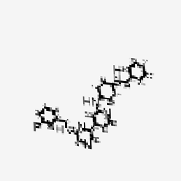 Fc1cccc(CNc2cncc(-c3ccnc(NC4CCC(NCc5ccccc5)CC4)c3)n2)c1